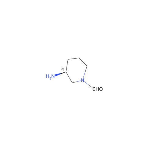 N[C@H]1CCCN(C=O)C1